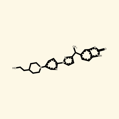 CC(c1ccc2[nH]c(=O)sc2c1)c1ccn(-c2ccc(N3CCC(CCO)CC3)cn2)n1